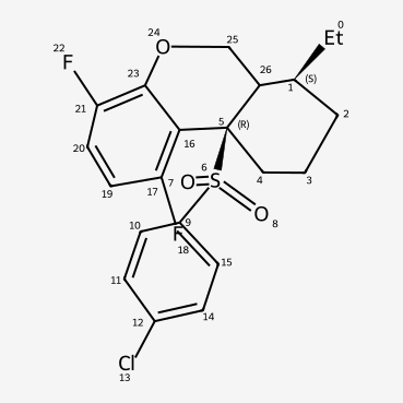 CC[C@H]1CCC[C@]2(S(=O)(=O)c3ccc(Cl)cc3)c3c(F)ccc(F)c3OCC12